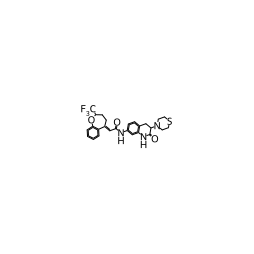 O=C(/C=C1\CCC(C(F)(F)F)Oc2ccccc21)Nc1ccc2c(c1)NC(=O)C(N1CCSCC1)C2